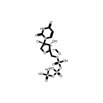 O=c1ccn([C@@]2(Cl)CO[C@](CCl)(COP(=O)(O)OP(=O)(O)OP(=O)(O)O)[C@H]2O)c(=O)[nH]1